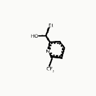 CCC(O)c1cccc(C(F)(F)F)n1